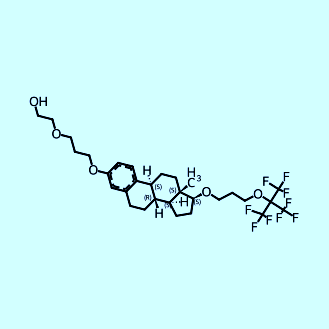 C[C@]12CC[C@@H]3c4ccc(OCCCOCCO)cc4CC[C@H]3[C@@H]1CC[C@@H]2OCCCOC(C(F)(F)F)(C(F)(F)F)C(F)(F)F